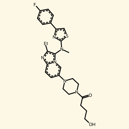 CCc1nc2ccc(N3CCN(C(=O)CCCO)CC3)cn2c1N(C)c1nc(-c2ccc(F)cc2)cs1